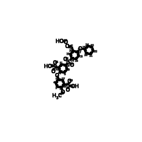 COc1ccc(Oc2ccc(S(=O)(=O)c3ccc(Oc4ccccc4)c(SOOO)c3)cc2S(=O)(=O)O)cc1S(=O)(=O)O